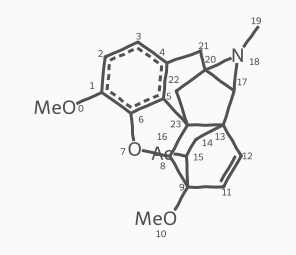 COc1ccc2c3c1OC1C4(OC)C=CC5(CC4C(C)=O)C4N(C)C4(C2)CC315